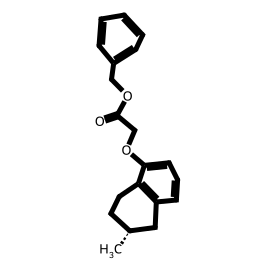 C[C@@H]1CCc2c(cccc2OCC(=O)OCc2ccccc2)C1